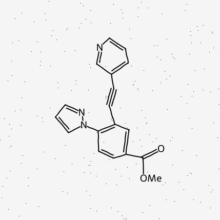 COC(=O)c1ccc(-n2cccn2)c(C#Cc2cccnc2)c1